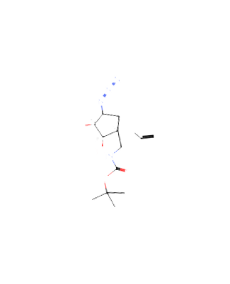 C=CC[C@@]1(CNC(=O)OC(C)(C)C)CC(N=[N+]=[N-])[C@H](O)[C@@H]1O